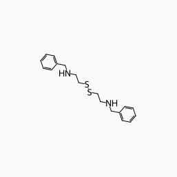 c1ccc(CNCCSSCCNCc2ccccc2)cc1